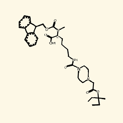 CCC(C)(CC)OC(=O)CN1CCN(C(=O)NCCCC[C@@H](C(=O)O)N(C)C(=O)OCC2c3ccccc3-c3ccccc32)CC1